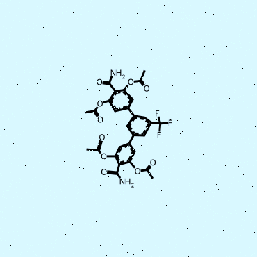 CC(=O)Oc1cc(-c2cc(-c3cc(OC(C)=O)c(C(N)=O)c(OC(C)=O)c3)cc(C(F)(F)F)c2)cc(OC(C)=O)c1C(N)=O